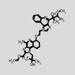 CCOCc1nc2c(N)nc3c(c2n1CC(C)(C)O)CCCC3OCCn1cnc2c(C(C)(C)C(N)OC)nc3ccccc3c21